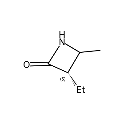 CC[C@@H]1C(=O)NC1C